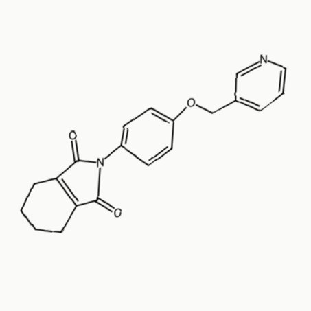 O=C1C2=C(CCCC2)C(=O)N1c1ccc(OCc2cccnc2)cc1